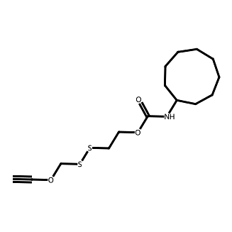 C#COCSSCCOC(=O)NC1CCCCCCCC1